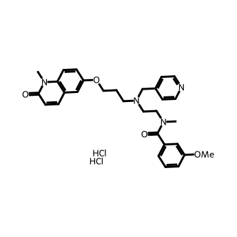 COc1cccc(C(=O)N(C)CCN(CCCOc2ccc3c(ccc(=O)n3C)c2)Cc2ccncc2)c1.Cl.Cl